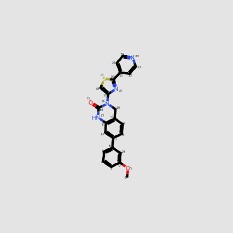 COc1cccc(-c2ccc3c(c2)NC(=O)N(c2csc(-c4ccncc4)n2)C3)c1